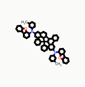 Cc1cccc(N(c2ccc3c4c(ccc3c2)-c2c(c3ccc(N(c5cccc(C)c5)c5cccc6c5oc5ccccc56)cc3c3ccccc23)C4(c2ccccc2)c2ccccc2)c2cccc3c2oc2ccccc23)c1